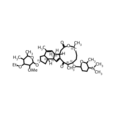 CCOC1C(C)C(C)OC(O[C@@H]2CC3C(C)=C[C@@H]4[C@@H](C=C5C(=O)[C@H](C)[C@@H](OC6CCC(N(C)C)C(C)O6)CCC[C@H](C)OC(=O)C[C@H]54)[C@@H]3C2)C1OC